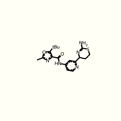 Cc1nc(C(=O)Nc2ccnc(C3CCSC(N)=N3)c2)c(C(C)(C)C)o1